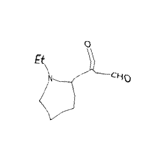 CCN1CCCC1C(=O)C=O